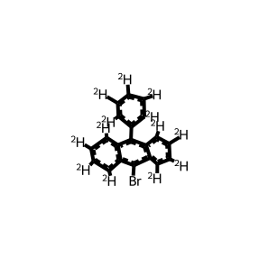 [2H]c1c([2H])c([2H])c(-c2c3c([2H])c([2H])c([2H])c([2H])c3c(Br)c3c([2H])c([2H])c([2H])c([2H])c23)c([2H])c1[2H]